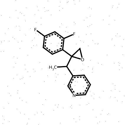 CC(c1cccnc1)C1(c2ccc(F)cc2F)CO1